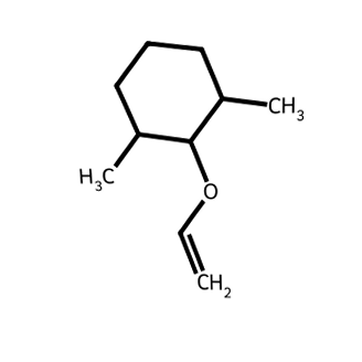 C=COC1C(C)CCCC1C